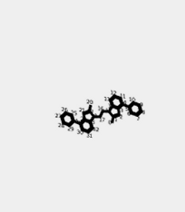 CC1=Cc2c(-c3ccccc3)cccc2C1CCC1C(C)=Cc2c(-c3ccccc3)cccc21